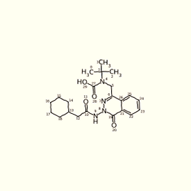 CC(C)(C)N(Cc1nn(NC(=O)CC2CCCCC2)c(=O)c2ccccc12)C(=O)O